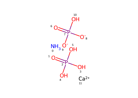 N.O=P(O)(O)O.O=P([O-])([O-])O.[Ca+2]